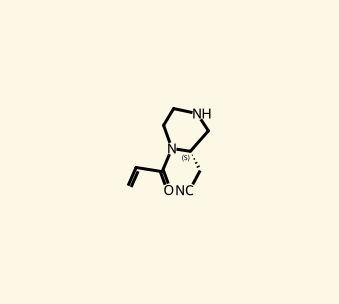 C=CC(=O)N1CCNC[C@@H]1CC#N